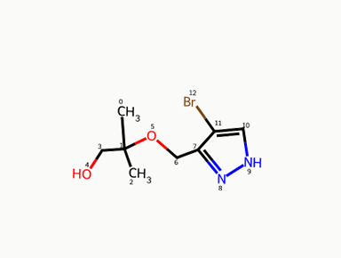 CC(C)(CO)OCc1n[nH]cc1Br